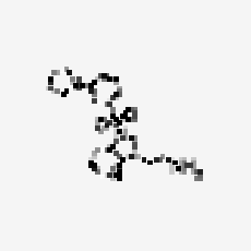 NCCc1cn(S(=O)(=O)c2cccc(N3CCCC3)c2)c2cccnc12